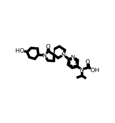 CC(C)N(C(=O)O)c1ccc(N2CCC[C@]3(CCN(C4CCC(O)CC4)C3=O)C2)nc1